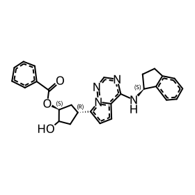 O=C(O[C@H]1C[C@H](c2ccc3c(N[C@H]4CCc5ccccc54)ncnn23)CC1O)c1ccccc1